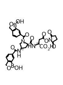 O=C(C[C@H](NC(=O)[C@@H]1C[C@@H](NC(=O)c2ccc3c(c2)B(O)OC3)CN1C(=O)c1ccc2c(c1)B(O)OC2)C(=O)O)ON1C(=O)CCC1=O